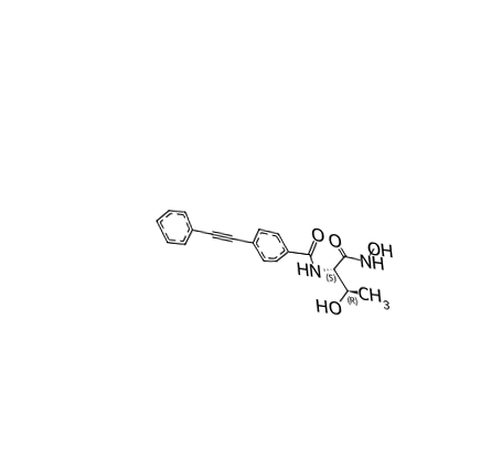 C[C@@H](O)[C@H](NC(=O)c1ccc(C#Cc2ccccc2)cc1)C(=O)NO